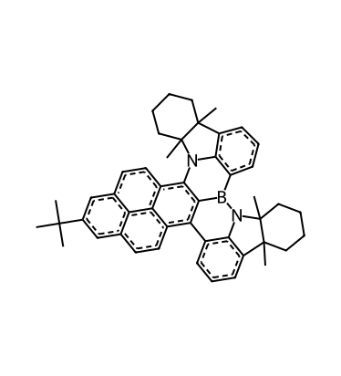 CC(C)(C)c1cc2ccc3c4c5c(c6ccc(c1)c2c36)N1c2c(cccc2C2(C)CCCCC12C)B5N1c2c-4cccc2C2(C)CCCCC12C